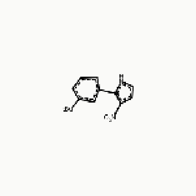 CC(C)(C)c1cccc(-c2[nH]ccc2[N+](=O)[O-])c1